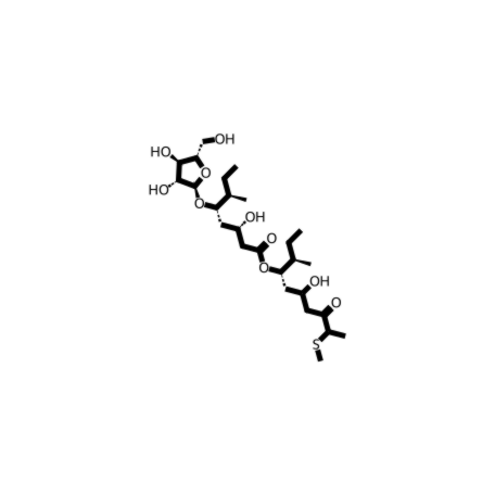 CC[C@@H](C)[C@H](CC(O)CC(=O)C(C)SC)OC(=O)C[C@@H](O)C[C@H](O[C@@H]1O[C@@H](CO)[C@H](O)[C@H]1O)[C@H](C)CC